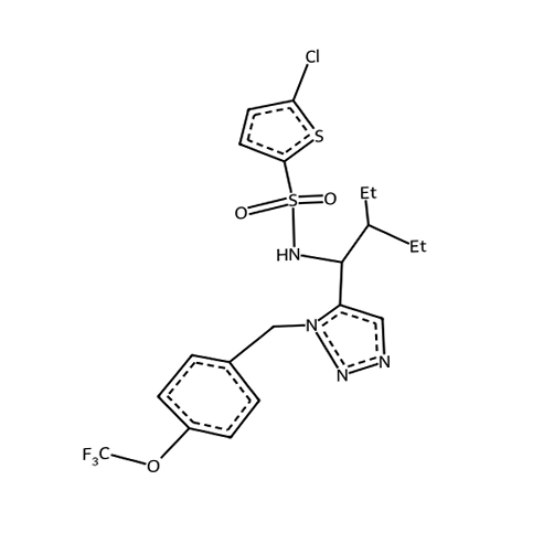 CCC(CC)C(NS(=O)(=O)c1ccc(Cl)s1)c1cnnn1Cc1ccc(OC(F)(F)F)cc1